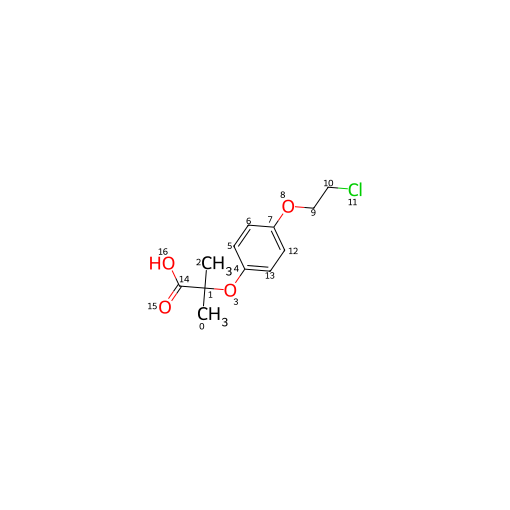 CC(C)(Oc1ccc(OCCCl)cc1)C(=O)O